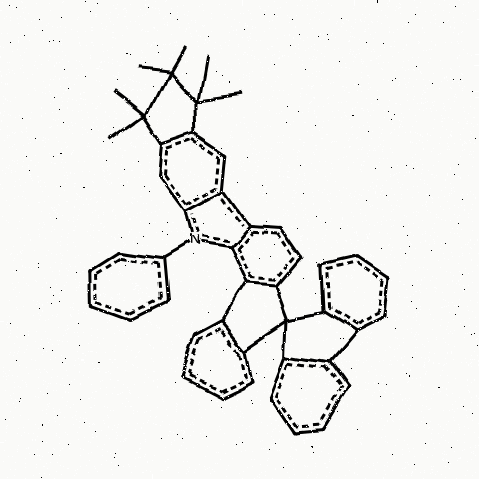 CC1(C)c2cc3c4ccc5c(c4n(-c4ccccc4)c3cc2C(C)(C)C1(C)C)-c1ccccc1C51c2ccccc2-c2ccccc21